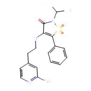 CC(C)N1C(=O)C(NCCc2ccnc(N)c2)=C(c2ccccc2)S1(=O)=O